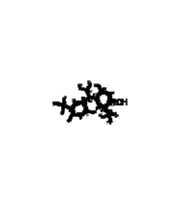 Cc1cc(C)c(C(C)(C)C)cc1C(c1cc(C(C)(C)C)c(O)cc1C)C(C)C